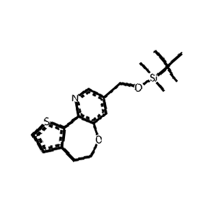 CC(C)(C)[Si](C)(C)OCc1cnc2c(c1)OCCc1ccsc1-2